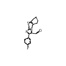 O=Cc1c(-c2ccc(F)cc2)nc2sc3c(n12)CCCC3